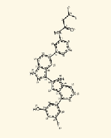 CC(C)CC(=O)Nc1cncc(-c2ccc3[nH]nc(-c4cc5c(-c6cc(O)cc(F)c6)cncc5[nH]4)c3c2)c1